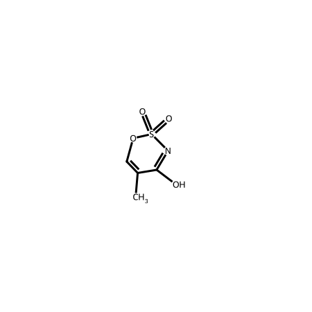 CC1=COS(=O)(=O)N=C1O